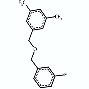 Fc1cccc(COCc2cc(C(F)(F)F)cc(C(F)(F)F)c2)c1